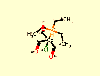 CC[PH](CC)(CC)[Co]([Cl])([CH]=O)([CH]=O)[CH]=O